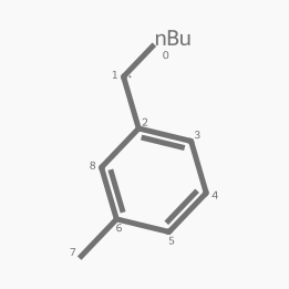 CCCC[CH]c1cccc(C)c1